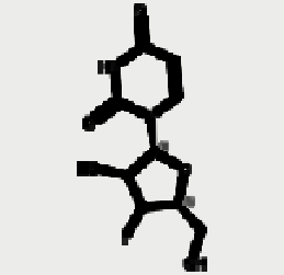 O=c1ccn([C@H]2O[C@@H](CO)C(I)C2O)c(=O)[nH]1